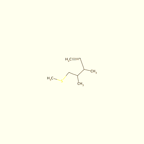 C=CC(C)C(C)CSC